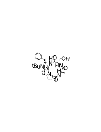 C[C@H]1NC(=O)[C@@H]2CCCN2[C@H](C(=O)NC(C)(C)C)[C@H](CSc2ccccc2)NC(=O)[C@H](CO)NC1=O